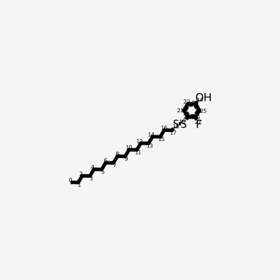 CCCCCCCCCCCCCCCCCCSSc1ccc(O)cc1F